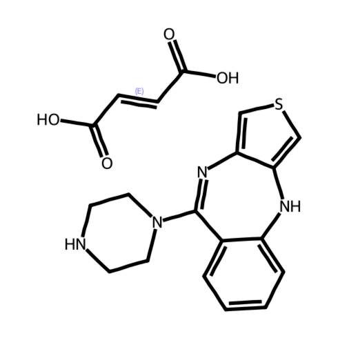 O=C(O)/C=C/C(=O)O.c1ccc2c(c1)Nc1cscc1N=C2N1CCNCC1